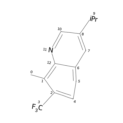 Cc1c(C(F)(F)F)ccc2cc(C(C)C)cnc12